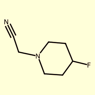 N#CCN1CCC(F)CC1